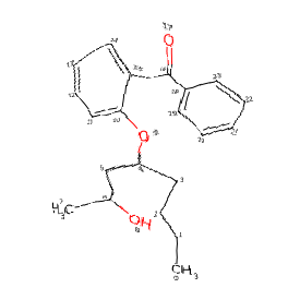 CCCCC(CC(C)O)Oc1ccccc1C(=O)c1ccccc1